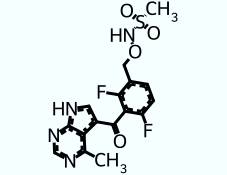 Cc1ncnc2[nH]cc(C(=O)c3c(F)ccc(CONS(C)(=O)=O)c3F)c12